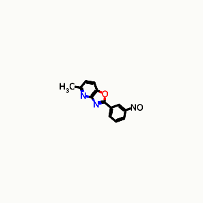 Cc1ccc2oc(-c3cccc(N=O)c3)nc2n1